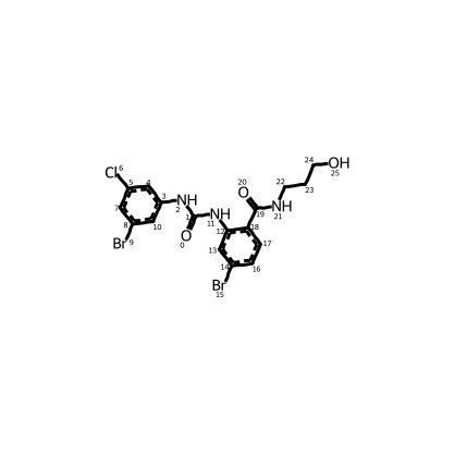 O=C(Nc1cc(Cl)cc(Br)c1)Nc1cc(Br)ccc1C(=O)NCCCO